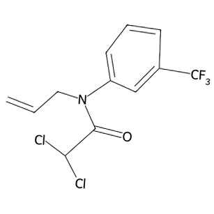 C=CCN(C(=O)C(Cl)Cl)c1cccc(C(F)(F)F)c1